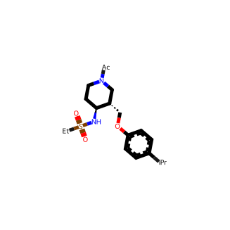 CCS(=O)(=O)N[C@H]1CCN(C(C)=O)C[C@@H]1COc1ccc(C(C)C)cc1